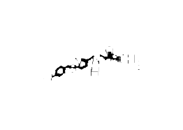 CCOC(=O)CCNCc1ccc(OCc2ccc(Cl)cc2)nc1